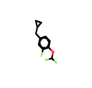 Fc1cc(CC2CC2)ccc1OC(F)F